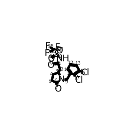 O=C(CC1CCC(=O)N1Cc1cccc(Cl)c1Cl)NS(=O)(=O)C(F)(F)F